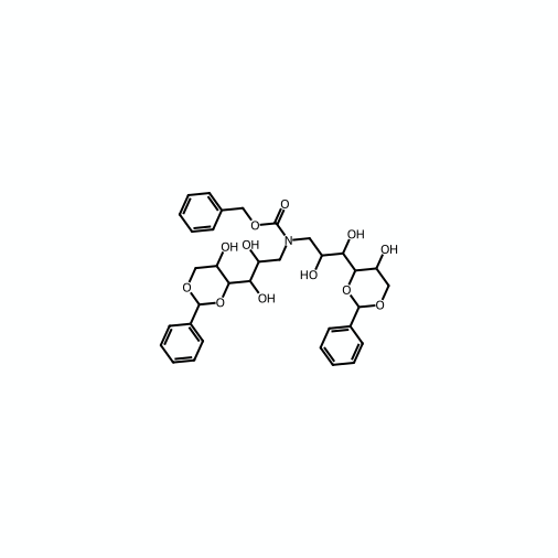 O=C(OCc1ccccc1)N(CC(O)C(O)C1OC(c2ccccc2)OCC1O)CC(O)C(O)C1OC(c2ccccc2)OCC1O